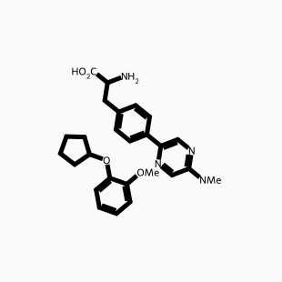 CNc1cnc(-c2ccc(CC(N)C(=O)O)cc2)cn1.COc1ccccc1OC1CCCC1